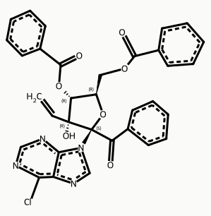 C=C[C@@]1(O)[C@H](OC(=O)c2ccccc2)[C@@H](COC(=O)c2ccccc2)O[C@@]1(C(=O)c1ccccc1)n1cnc2c(Cl)ncnc21